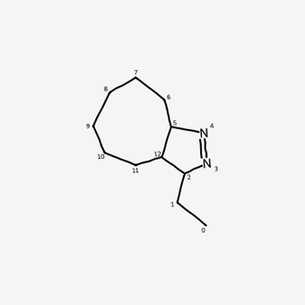 CCC1N=NC2CCCCCCC12